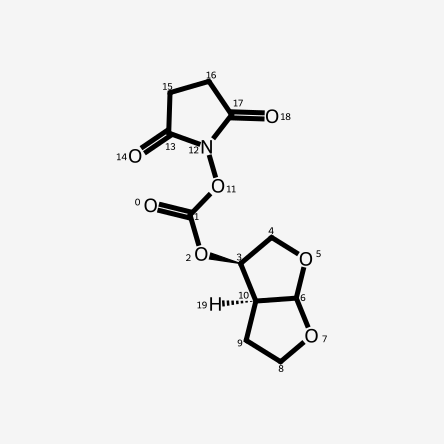 O=C(O[C@H]1COC2OCC[C@H]21)ON1C(=O)CCC1=O